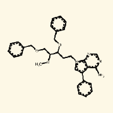 COC(COCc1ccccc1)C(CCn1cc(-c2ccccc2)c2c(N)ncnc21)OCc1ccccc1